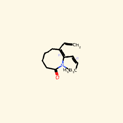 C=C/C1=C(\C=C/C)N(C)C(=O)CCCC1